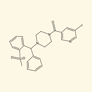 CS(=O)(=O)c1ccccc1C(c1ccccc1)N1CCN(C(=O)c2cncc(I)c2)CC1